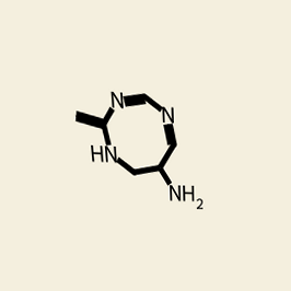 C=C1/N=C\N=C/C(N)CN1